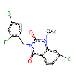 CC(=O)On1c(=O)n(Cc2ccc(Br)cc2F)c(=O)c2ccc(Cl)cc21